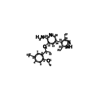 COc1ccc(F)cc1C(C)Oc1cc(-c2c(C)n[nH]c2C)cnc1N